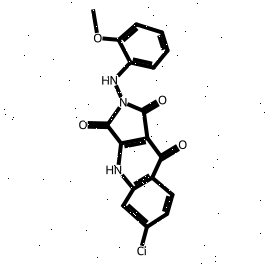 COc1ccccc1NN1C(=O)c2[nH]c3cc(Cl)ccc3c(=O)c2C1=O